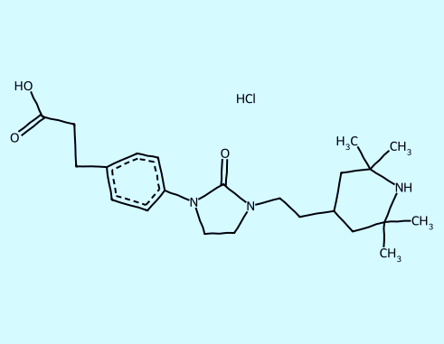 CC1(C)CC(CCN2CCN(c3ccc(CCC(=O)O)cc3)C2=O)CC(C)(C)N1.Cl